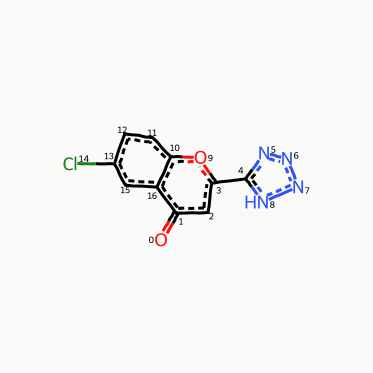 O=c1cc(-c2nnn[nH]2)oc2ccc(Cl)cc12